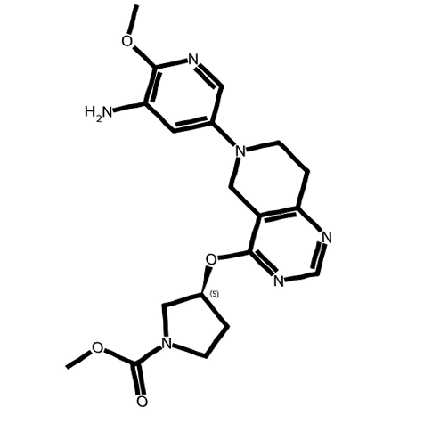 COC(=O)N1CC[C@H](Oc2ncnc3c2CN(c2cnc(OC)c(N)c2)CC3)C1